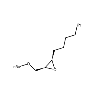 CCCCOC[C@@H]1O[C@@H]1CCCCC(C)C